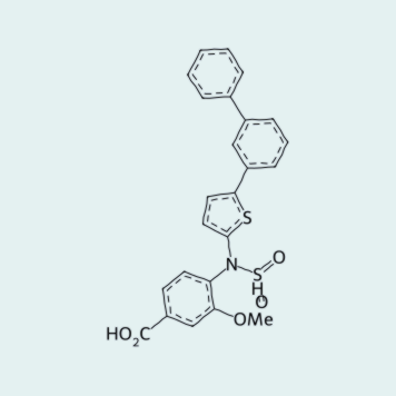 COc1cc(C(=O)O)ccc1N(c1ccc(-c2cccc(-c3ccccc3)c2)s1)[SH](=O)=O